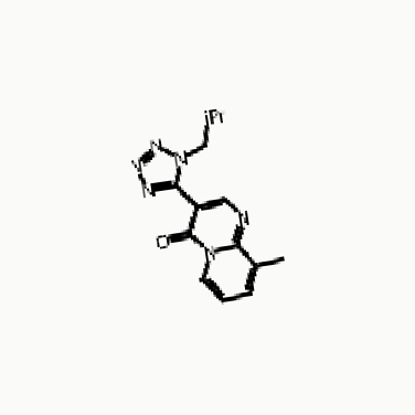 Cc1cccn2c(=O)c(-c3nnnn3CC(C)C)cnc12